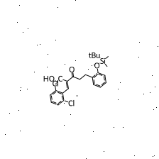 CC(C)(C)[Si](C)(C)Oc1ccccc1CCC(=O)C(=Cc1c(Cl)cccc1Cl)C(=O)O